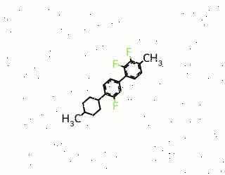 Cc1ccc(-c2ccc(C3CCC(C)CC3)c(F)c2)c(F)c1F